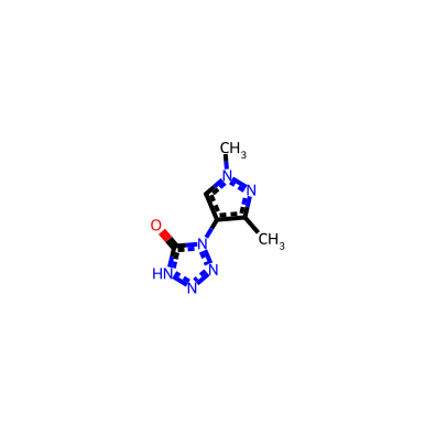 Cc1nn(C)cc1-n1nn[nH]c1=O